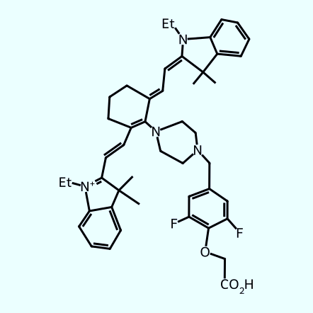 CCN1/C(=C/C=C2\CCCC(/C=C/C3=[N+](CC)c4ccccc4C3(C)C)=C2N2CCN(Cc3cc(F)c(OCC(=O)O)c(F)c3)CC2)C(C)(C)c2ccccc21